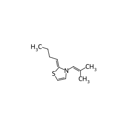 CCC/C=C1\SC=CN1C=C(C)C